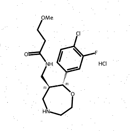 COCCC(=O)NC[C@@H]1CNCCO[C@H]1c1ccc(Cl)c(F)c1.Cl